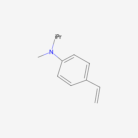 C=Cc1ccc(N(C)C(C)C)cc1